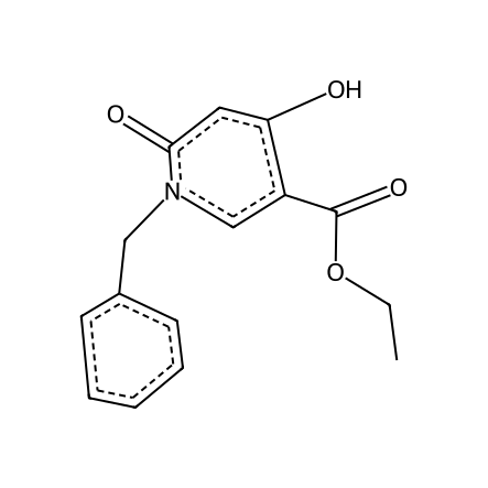 CCOC(=O)c1cn(Cc2ccccc2)c(=O)cc1O